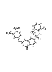 COc1ccc(C=C2CNc3ccc(S(=O)(=O)Cc4c(Cl)cccc4Cl)cc3S2)cc1N